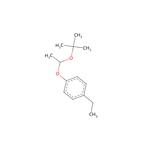 CCc1ccc(OC(C)OC(C)(C)C)cc1